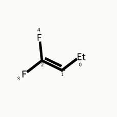 CC[C]=C(F)F